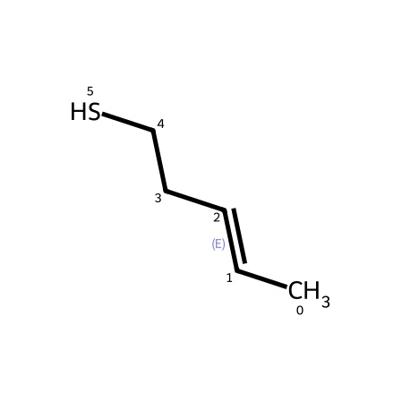 C/C=C/CCS